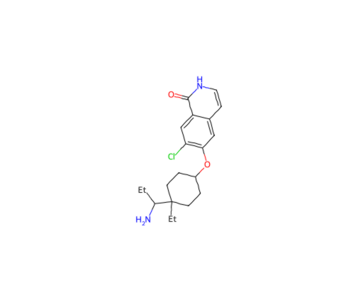 CCC(N)C1(CC)CCC(Oc2cc3cc[nH]c(=O)c3cc2Cl)CC1